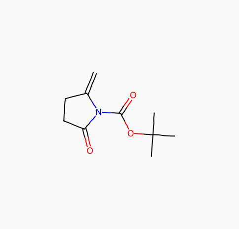 C=C1CCC(=O)N1C(=O)OC(C)(C)C